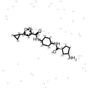 N[C@@H]1CC[C@H](C(=O)NC2CCC(NC(=O)c3cc(C4CC4)on3)CC2)C1